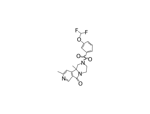 Cc1cc2c(cn1)C(=O)N1CCN(S(=O)(=O)c3cccc(OC(F)F)c3)CC21C